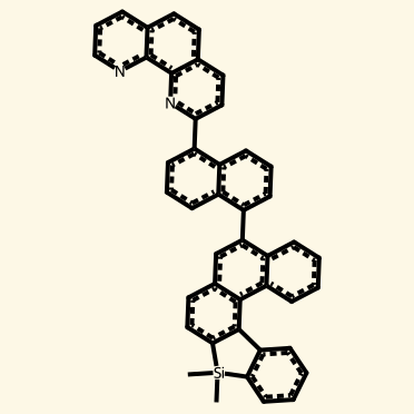 C[Si]1(C)c2ccccc2-c2c1ccc1cc(-c3cccc4c(-c5ccc6ccc7cccnc7c6n5)cccc34)c3ccccc3c21